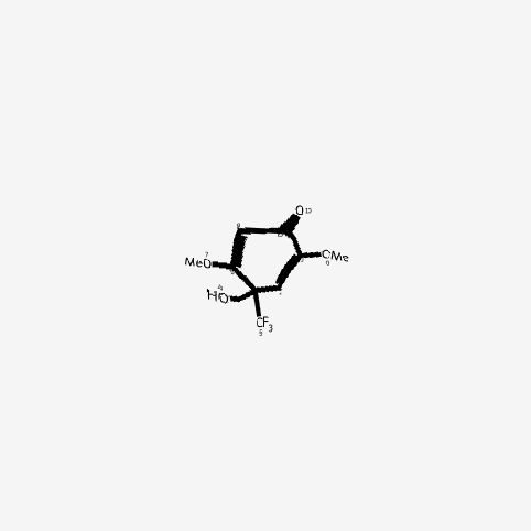 COC1=CC(O)(C(F)(F)F)C(OC)=CC1=O